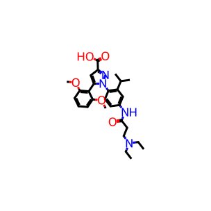 CCN(CC)CCC(=O)Nc1ccc(-n2nc(C(=O)O)cc2-c2c(OC)cccc2OC)c(C(C)C)c1